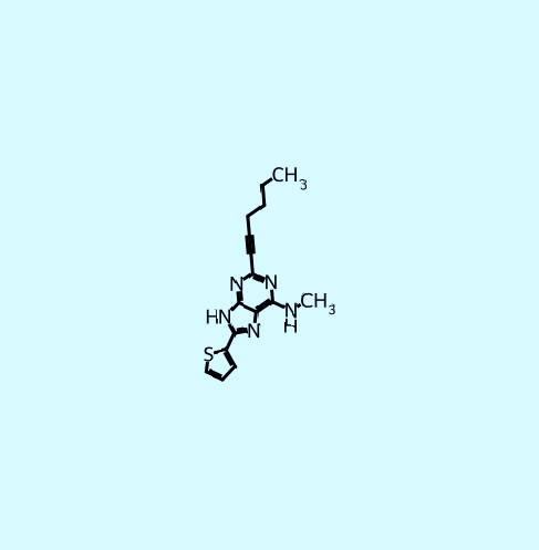 CCCCC#Cc1nc(NC)c2nc(-c3cccs3)[nH]c2n1